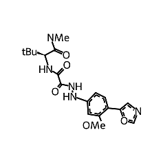 CNC(=O)[C@@H](NC(=O)C(=O)NNc1ccc(-c2cnco2)c(OC)c1)C(C)(C)C